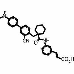 CN(C)c1ccc(-c2ccc(CC3(C(=O)Nc4cccc(/C=C/C(=O)O)c4)CCCCC3)c(C#N)c2)cc1